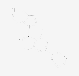 O=C(c1c(Cl)cc(-c2cccnc2)cc1Cl)n1ccc2cnccc21